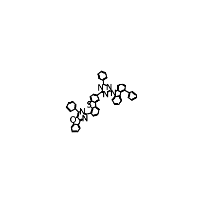 c1ccc(-c2nc(-c3ccc4sc5c(-c6nc(-c7ccccc7)c7oc8ccccc8c7n6)cccc5c4c3)nc(-n3c4ccccc4c4c(-c5ccccc5)cccc43)n2)cc1